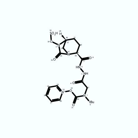 CC(C)(C)N(CC(=O)NNC(=O)[C@@H]1CC[C@@H]2CN1C(=O)N2OS(=O)(=O)O)C(=O)O[n+]1ccccc1